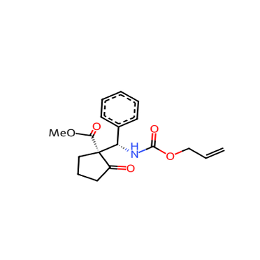 C=CCOC(=O)N[C@@H](c1ccccc1)[C@]1(C(=O)OC)CCCC1=O